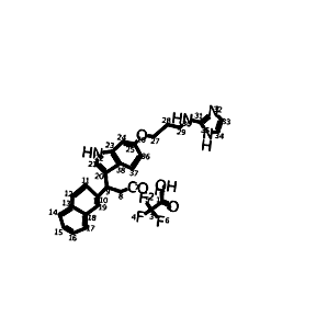 O=C(O)C(F)(F)F.O=C(O)CC(c1ccc2ccccc2c1)c1c[nH]c2cc(OCCCNc3ncc[nH]3)ccc12